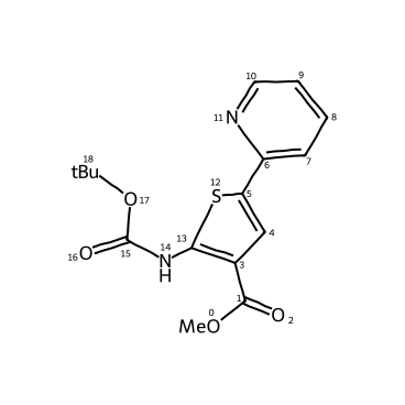 COC(=O)c1cc(-c2ccccn2)sc1NC(=O)OC(C)(C)C